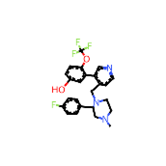 CN1CCN(Cc2ccncc2-c2cc(O)ccc2OC(F)(F)F)C(c2ccc(F)cc2)C1